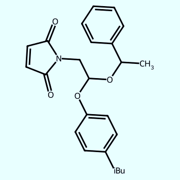 CCC(C)c1ccc(OC(CN2C(=O)C=CC2=O)OC(C)c2ccccc2)cc1